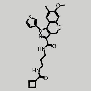 COc1cc2c(cc1C)-c1c(c(C(=O)NCCCNC(=O)C3CCC3)nn1-c1ccsc1)CO2